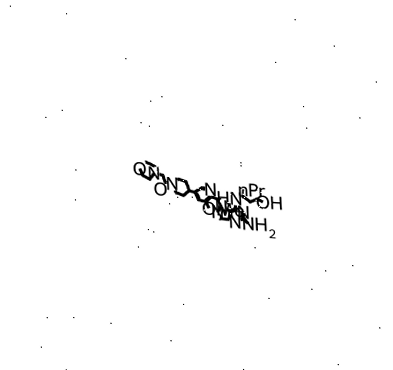 CCC[C@@H](CCO)Nc1nc(N)nc2cnn(Cc3ncc(C4CCN(C(=O)CN5CCOCC5)CC4)cc3OC)c12